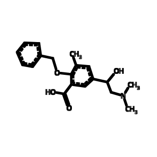 Cc1cc(C(O)CN(C)C)cc(C(=O)O)c1OCc1ccccc1